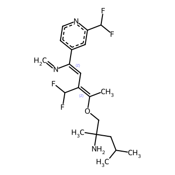 C=N/C(=C\C(=C(/C)OCC(C)(N)CC(C)C)C(F)F)c1ccnc(C(F)F)c1